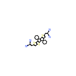 N#CC(C#N)=Cc1cc2c(s1)C1=C(c3sc4cc(C=C(C#N)C#N)sc4c3C13CCCCC3)C21CCCCC1